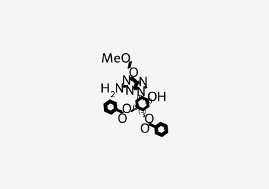 COCCOc1nc(N)nc2c1ncn2[C@@H]1C[C@H](COC(=O)c2ccccc2)[C@@H](COC(=O)c2ccccc2)C[C@H]1O